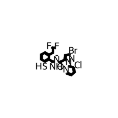 CN(C(=N)c1c(S)cccc1CC(F)F)C(=O)c1cc(Br)nn1-c1ncccc1Cl